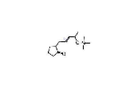 CC(/C=C/CC1CCCC1=O)O[Si](C)(C)C